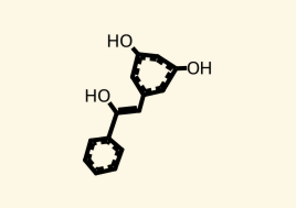 OC(=Cc1cc(O)cc(O)c1)c1ccccc1